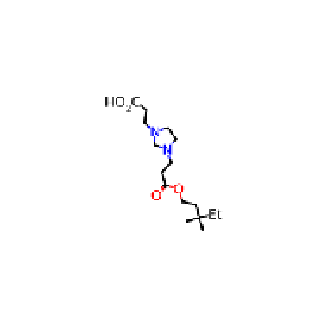 CCC(C)(C)CCOC(=O)CCN1CCN(CCC(=O)O)C1